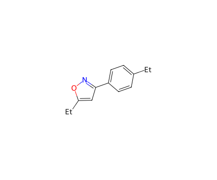 CCc1ccc(-c2cc(CC)on2)cc1